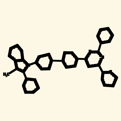 Cc1c(-c2ccccc2)n(-c2ccc(-c3ccc(-c4cc(-c5ccccn5)nc(-c5ccccc5)n4)cc3)cc2)c2ccccc12